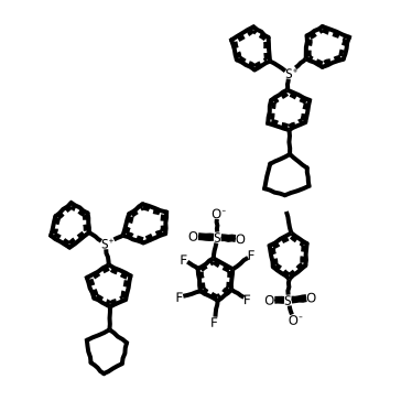 Cc1ccc(S(=O)(=O)[O-])cc1.O=S(=O)([O-])c1c(F)c(F)c(F)c(F)c1F.c1ccc([S+](c2ccccc2)c2ccc(C3CCCCC3)cc2)cc1.c1ccc([S+](c2ccccc2)c2ccc(C3CCCCC3)cc2)cc1